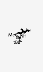 C=C/C=C(\C)C(COC)NC(=O)OC(C)(C)C